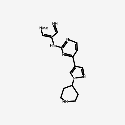 CN/C=C(\C=N)Nc1nccc(-c2cnn(C3CCNCC3)c2)n1